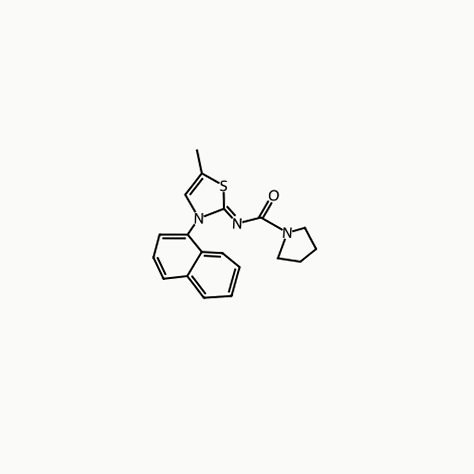 Cc1cn(-c2cccc3ccccc23)/c(=N/C(=O)N2CCCC2)s1